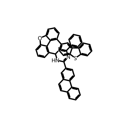 c1ccc(C2=NC(c3cccc4oc5cccc(-c6ccc7sc8ccccc8c7c6)c5c34)NC(c3ccc4c(ccc5ccccc54)c3)=N2)cc1